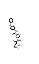 NC[C@H](O)C(=O)N[C@@H]1CN[C@@H](C(=O)Nc2ccc(Oc3ccccc3)cc2)C1